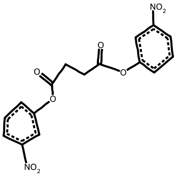 O=C(CCC(=O)Oc1cccc([N+](=O)[O-])c1)Oc1cccc([N+](=O)[O-])c1